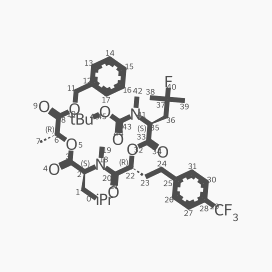 CC(C)C[C@@H](C(=O)O[C@H](C)C(=O)OCc1ccccc1)N(C)C(=O)[C@@H](CCc1ccc(C(F)(F)F)cc1)OC(=O)[C@H](CC(C)(C)F)N(C)C(=O)OC(C)(C)C